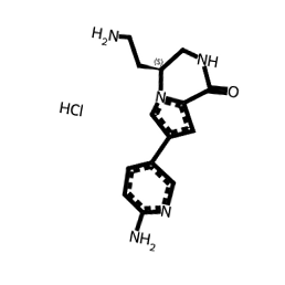 Cl.NCC[C@H]1CNC(=O)c2cc(-c3ccc(N)nc3)cn21